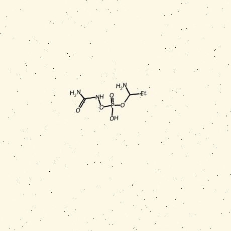 CCC(N)OP(=O)(O)ONC(N)=O